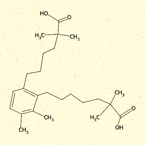 Cc1ccc(CCCCC(C)(C)C(=O)O)c(CCCCCC(C)(C)C(=O)O)c1C